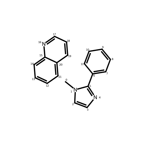 Cn1ccnc1-c1ccccc1.c1ccc2ncccc2c1